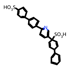 O=S(=O)(O)c1ccc(-c2ccc(-c3ccc(C4(S(=O)(=O)O)C=CC(c5ccccc5)C=C4)cn3)cc2)cc1